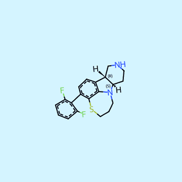 Fc1cccc(F)c1-c1ccc2c3c1SCCCN3[C@H]1CCNC[C@@H]21